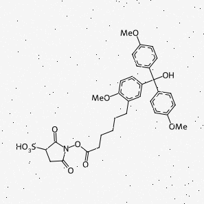 COc1ccc(C(O)(c2ccc(OC)cc2)c2ccc(OC)c(CCCCCC(=O)ON3C(=O)CC(S(=O)(=O)O)C3=O)c2)cc1